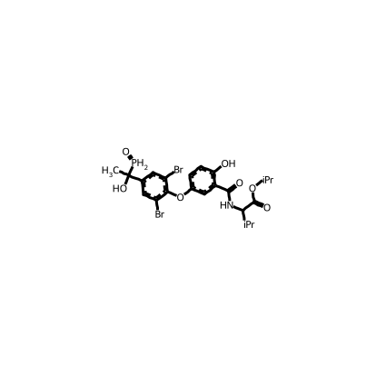 CC(C)OC(=O)C(NC(=O)c1cc(Oc2c(Br)cc(C(C)(O)[PH2]=O)cc2Br)ccc1O)C(C)C